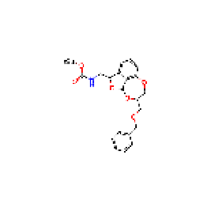 CC(C)(C)OC(=O)NCC1OB2OC(COCc3ccccc3)COc3cccc1c32